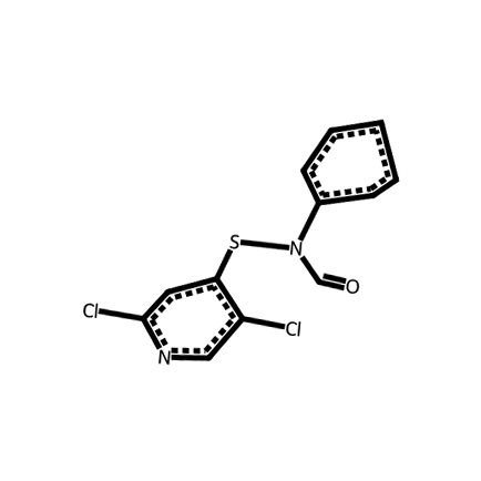 O=CN(Sc1cc(Cl)ncc1Cl)c1ccccc1